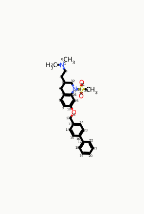 CN(C)CCC1Cc2ccc(OCc3ccc(-c4ccccc4)cc3)cc2N(S(C)(=O)=O)C1